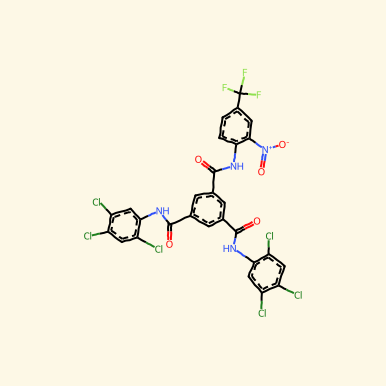 O=C(Nc1cc(Cl)c(Cl)cc1Cl)c1cc(C(=O)Nc2cc(Cl)c(Cl)cc2Cl)cc(C(=O)Nc2ccc(C(F)(F)F)cc2[N+](=O)[O-])c1